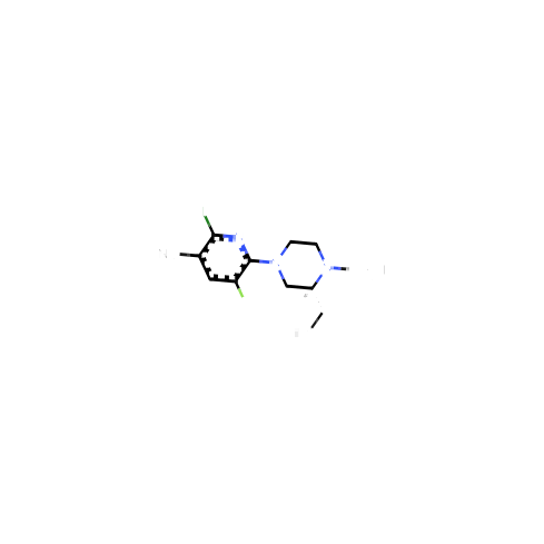 CC(C)C[C@@H]1CN(c2nc(Cl)c(C#N)cc2F)CCN1C(=O)O